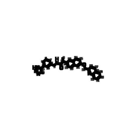 CC(C(=O)NCc1cccc(-c2nnn[nH]2)c1)c1ccc2cc(OCc3ccc4ccccc4n3)ccc2c1